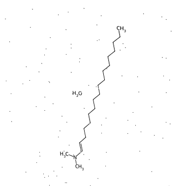 CCCCCCCCCCCCCCCCC=CN(C)C.O